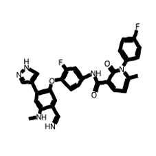 CNc1cc(-c2cn[nH]c2)c(Oc2ccc(NC(=O)c3ccc(C)n(-c4ccc(F)cc4)c3=O)cc2F)cc1C=N